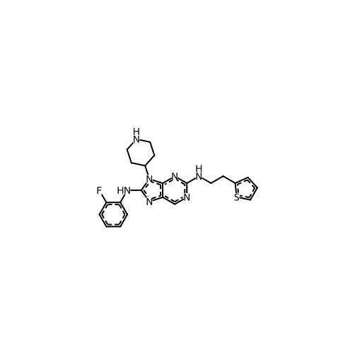 Fc1ccccc1Nc1nc2cnc(NCCc3cccs3)nc2n1C1CCNCC1